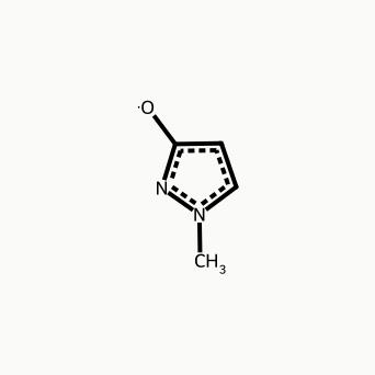 Cn1ccc([O])n1